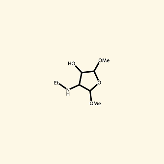 CCNC1C(OC)OC(OC)C1O